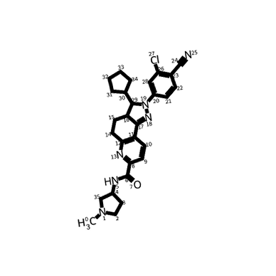 CN1CCC(NC(=O)c2ccc3c(n2)CCC2C3=NN(c3ccc(C#N)c(Cl)c3)C2C2CCCC2)C1